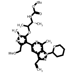 C=Cc1nn(C2CCCCO2)c2c(C)nc(-c3c(COC)nn(C)c3OC(C)[C@@H](C)NC(=O)OC(C)(C)C)cc12